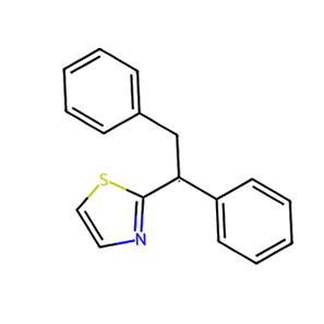 c1ccc(C[C](c2ccccc2)c2nccs2)cc1